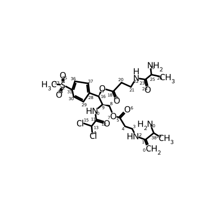 C=C(NCCC(=O)OC[C@@H](NC(=O)C(Cl)Cl)[C@H](OC(=O)CCNC(=O)C(C)N)c1ccc(S(C)(=O)=O)cc1)C(C)N